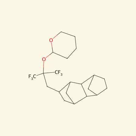 FC(F)(F)C(CC1CC2CC1C1C3CCC(C3)C21)(OC1CCCCO1)C(F)(F)F